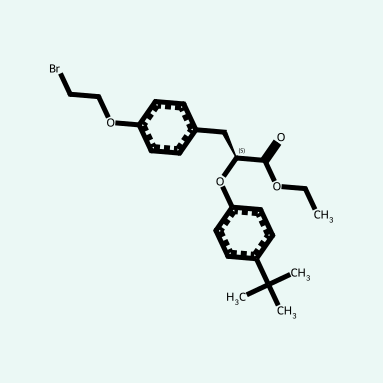 CCOC(=O)[C@H](Cc1ccc(OCCBr)cc1)Oc1ccc(C(C)(C)C)cc1